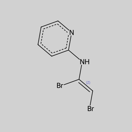 Br/C=C(\Br)Nc1ccccn1